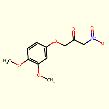 COc1ccc(OCC(=O)C[N+](=O)[O-])cc1OC